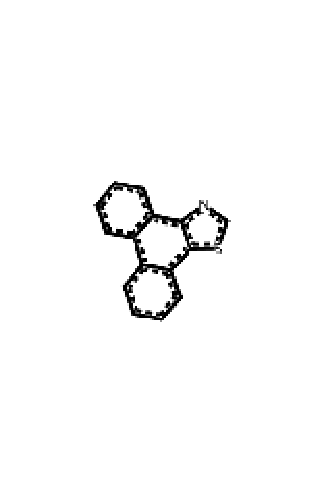 c1ccc2c(c1)c1ccccc1c1scnc21